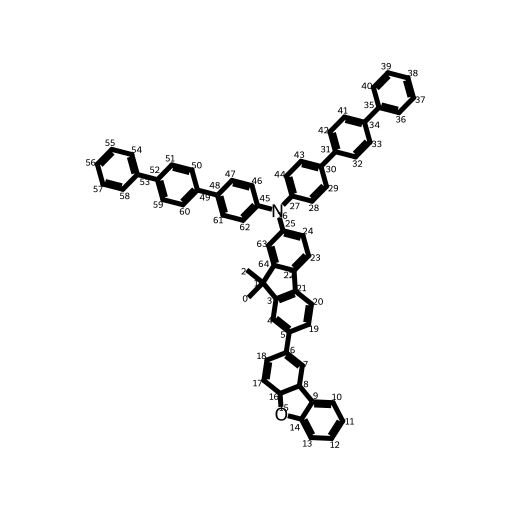 CC1(C)c2cc(C3=CC4c5ccccc5OC4C=C3)ccc2-c2ccc(N(c3ccc(-c4ccc(-c5ccccc5)cc4)cc3)c3ccc(-c4ccc(-c5ccccc5)cc4)cc3)cc21